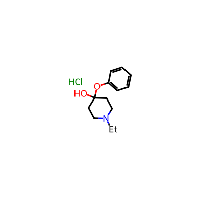 CCN1CCC(O)(Oc2ccccc2)CC1.Cl